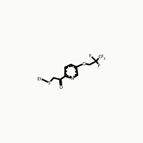 CCSCC(=O)c1ccc(OCC(F)(F)C(F)(F)F)cn1